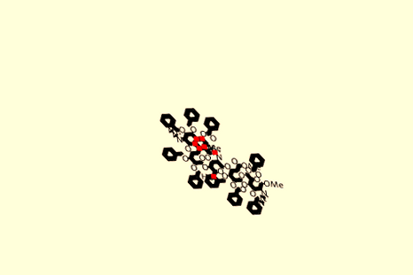 COC(=O)C1O[C@@H](O[C@@H]2C(CO)O[C@@H](O[C@@H]3C(C(=O)OC)O[C@@H](O[C@@H]4C(COC(=O)c5ccccc5)O[C@H](OC)[C@@H](N=[N+]=[N-])C4OCc4ccccc4)C(OC(=O)c4ccccc4)[C@@H]3OCc3ccccc3)[C@@H](N=[N+]=[N-])C2OC(=O)c2ccccc2)C(OCc2ccccc2)[C@@H](OCc2ccccc2)[C@@H]1O[C@H]1OC(COC(=O)c2ccccc2)[C@@H](OCc2ccccc2)[C@H](OCc2ccccc2)C1N=[N+]=[N-]